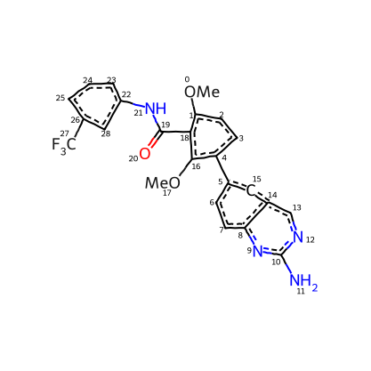 COc1ccc(-c2ccc3nc(N)ncc3c2)c(OC)c1C(=O)Nc1cccc(C(F)(F)F)c1